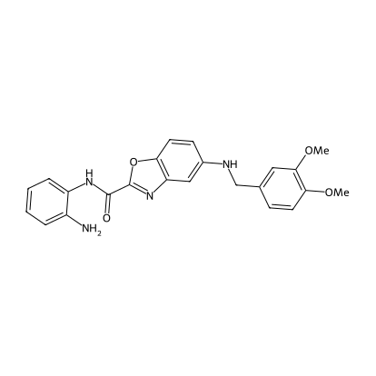 COc1ccc(CNc2ccc3oc(C(=O)Nc4ccccc4N)nc3c2)cc1OC